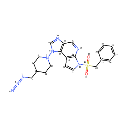 [N-]=[N+]=NCC1CCN(n2cnc3cnc4c(ccn4S(=O)(=O)Cc4ccccc4)c32)CC1